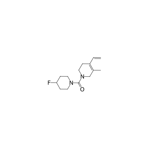 C=CC1=C(C)CN(C(=O)N2CCC(F)CC2)CC1